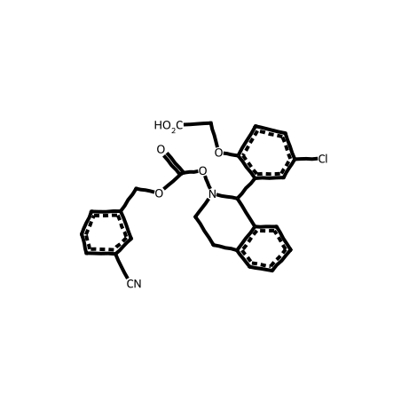 N#Cc1cccc(COC(=O)ON2CCc3ccccc3C2c2cc(Cl)ccc2OCC(=O)O)c1